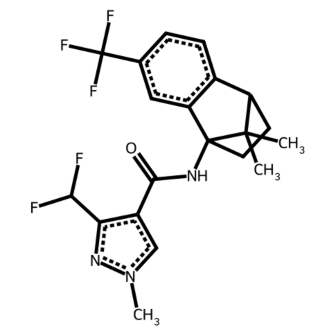 Cn1cc(C(=O)NC23CCC(c4ccc(C(F)(F)F)cc42)C3(C)C)c(C(F)F)n1